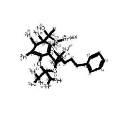 [2H]C1=C2OC(C([2H])[2H])(C([2H])([2H])[2H])OC([2H])C2=C([2H])C([2H])(C(C)(O)N(CCCCCC)OC([2H])([2H])CCCc2ccccc2)C1[2H]